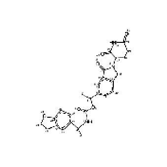 CC(NC(=O)OC(C)c1ccc2c(c1)C(=O)N(C1CCC(=O)NC1=O)C2)c1ccc2c(c1)CCO2